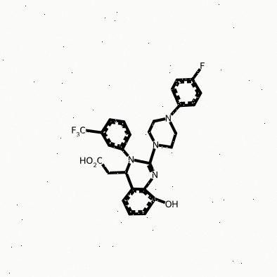 O=C(O)CC1c2cccc(O)c2N=C(N2CCN(c3ccc(F)cc3)CC2)N1c1cccc(C(F)(F)F)c1